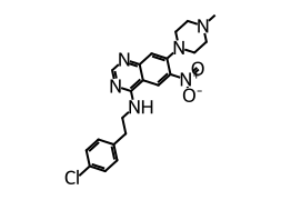 CN1CCN(c2cc3ncnc(NCCc4ccc(Cl)cc4)c3cc2[N+](=O)[O-])CC1